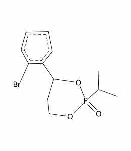 CC(C)P1(=O)OCCC(c2ccccc2Br)O1